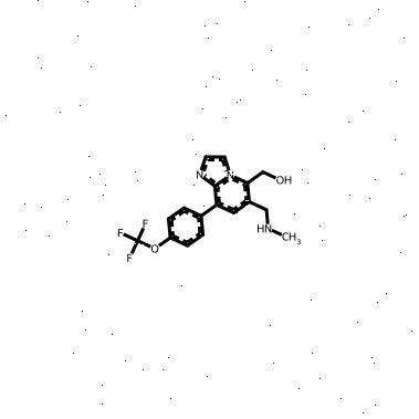 CNCc1cc(-c2ccc(OC(F)(F)F)cc2)c2nccn2c1CO